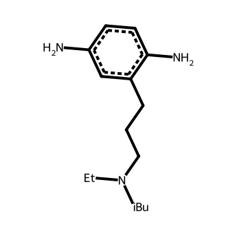 CCC(C)N(CC)CCCc1cc(N)ccc1N